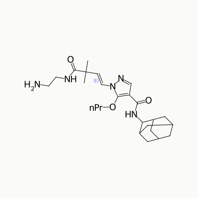 CCCOc1c(C(=O)NC2C3CC4CC(C3)CC2C4)cnn1/C=C/C(C)(C)C(=O)NCCN